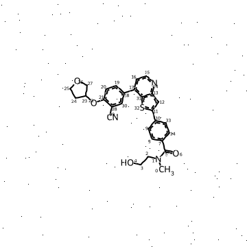 CN(CCO)C(=O)c1ccc(-c2cc3nccc(-c4ccc(OC5CCOC5)c(C#N)c4)c3s2)cc1